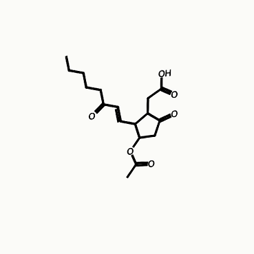 CCCCCC(=O)C=CC1C(OC(C)=O)CC(=O)C1CC(=O)O